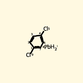 Clc1ccc(Cl)cc1.[PbH2]